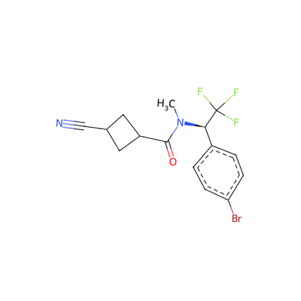 CN(C(=O)C1CC(C#N)C1)[C@H](c1ccc(Br)cc1)C(F)(F)F